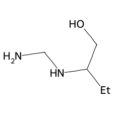 CCC(CO)NCN